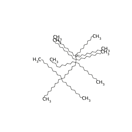 CCCCCCCCCCC(CCCCCCCCCC)(CCCCCCCCCC)CCCCCCCC(CCCCCCCCCC)(CCCCCCCCCC)C(CCCCCCCCCC)(CCCCCCCCCC)[P+](CCCCCCCCCC)(CCCCCCCCCC)CCCCCCCCCC